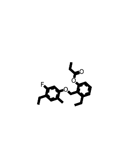 CCC(=O)Oc1cccc(CC)c1COc1cc(F)c(CC)cc1C